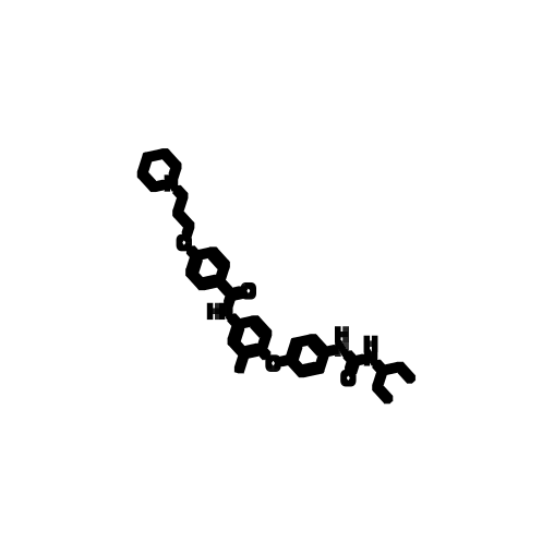 CCC(CC)NC(=O)Nc1ccc(Oc2ccc(NC(=O)c3ccc(OCCCN4CCCCC4)cc3)cc2C)cc1